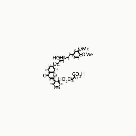 COc1ccc(CCNCC(O)COc2ccc3c(=O)cc(-c4ccccc4)oc3c2)cc1OC.O=C(O)/C=C\C(=O)O